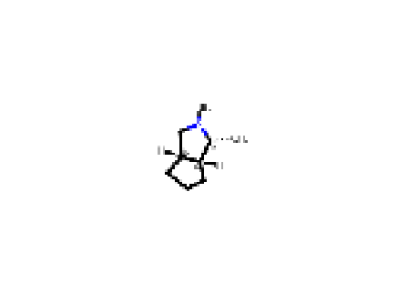 C[C@@H]1[C@@H]2CCC[C@@H]2CN1C(C)(C)C